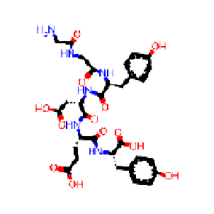 NCC(=O)NCC(=O)N[C@@H](Cc1ccc(O)cc1)C(=O)N[C@@H](CC(=O)O)C(=O)N[C@@H](CCC(=O)O)C(=O)N[C@@H](Cc1ccc(O)cc1)C(=O)O